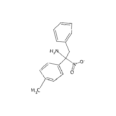 Cc1ccc(C(N)(Cc2ccccc2)[N+](=O)[O-])cc1